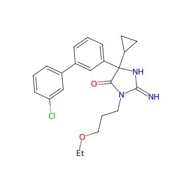 CCOCCCN1C(=N)NC(c2cccc(-c3cccc(Cl)c3)c2)(C2CC2)C1=O